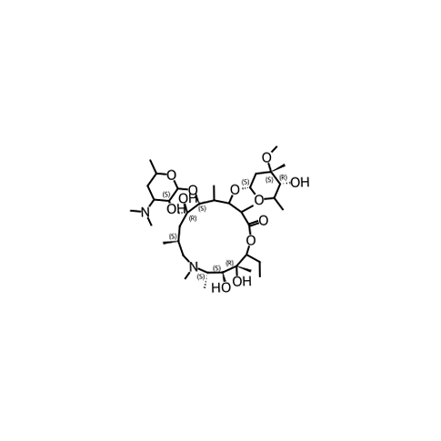 CCC1OC(=O)C(C)C(O[C@@H]2C[C@](C)(OC)[C@H](O)C(C)O2)C(C)[C@H](OC2OC(C)CC(N(C)C)[C@@H]2O)[C@](C)(O)C[C@H](C)CN(C)[C@@H](C)[C@H](O)[C@@]1(C)O